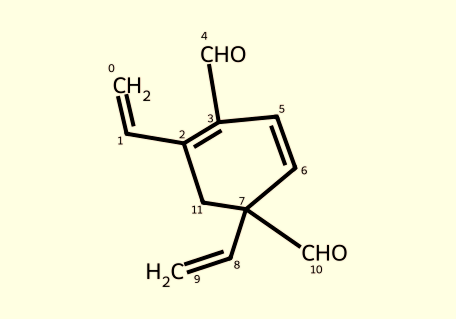 C=CC1=C(C=O)C=CC(C=C)(C=O)C1